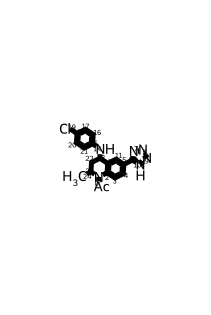 CC(=O)N1c2ccc(-c3nnn[nH]3)cc2C(Nc2ccc(Cl)cc2)CC1C